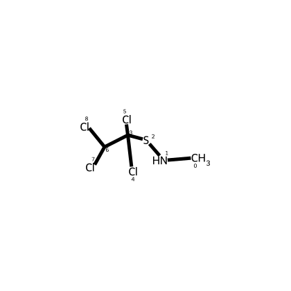 CNSC(Cl)(Cl)C(Cl)Cl